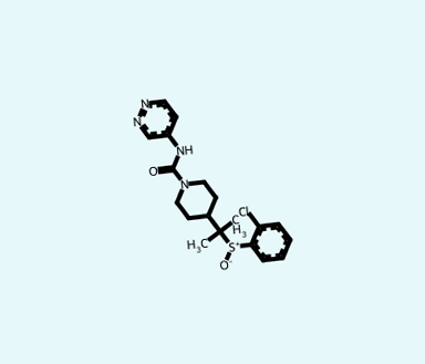 CC(C)(C1CCN(C(=O)Nc2ccnnc2)CC1)[S+]([O-])c1ccccc1Cl